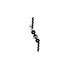 CCCCCCCc1ccc(-c2ncc(-c3ccc(OCC(F)CCCCCCC)cc3)cn2)cc1